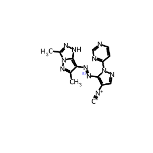 [C-]#[N+]c1cnn(-c2ccncn2)c1/N=N/c1c(C)nn2c(C)n[nH]c12